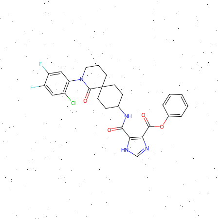 O=C(Oc1ccccc1)c1nc[nH]c1C(=O)NC1CCC2(CCCN(c3cc(F)c(F)cc3Cl)C2=O)CC1